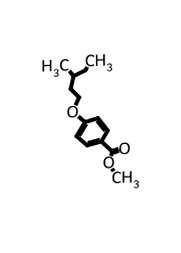 CCC(C)CCOc1ccc(C(=O)OC)cc1